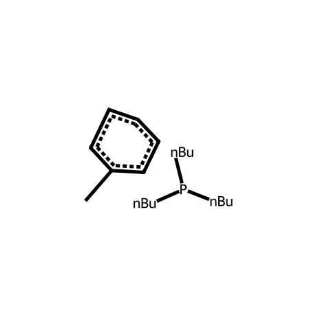 CCCCP(CCCC)CCCC.Cc1ccccc1